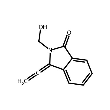 C=C=C1c2ccccc2C(=O)N1CO